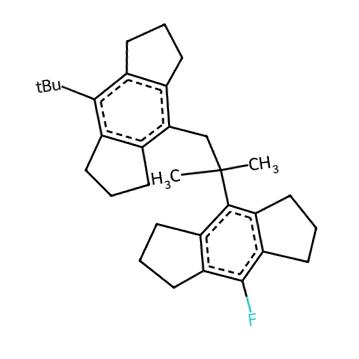 CC(C)(C)c1c2c(c(CC(C)(C)c3c4c(c(F)c5c3CCC5)CCC4)c3c1CCC3)CCC2